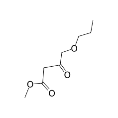 CCCOCC(=O)CC(=O)OC